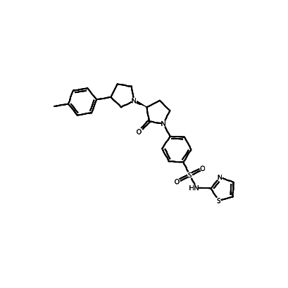 Cc1ccc(C2CCN([C@H]3CCN(c4ccc(S(=O)(=O)Nc5nccs5)cc4)C3=O)C2)cc1